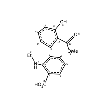 CCNc1ccccc1C(=O)O.COC(=O)c1ccccc1O